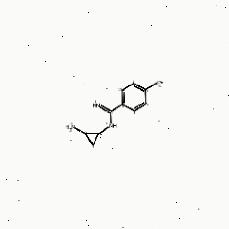 CC(C)c1ccc(C(=N)NC2CC2N)cc1